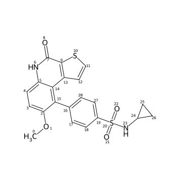 COc1ccc2[nH]c(=O)c3sccc3c2c1-c1ccc(S(=O)(=O)NC2CC2)cc1